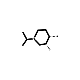 CC(C)N1CC[C@H](C)[C@H](C)C1